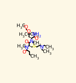 CCCC(=O)N(C)[C@H](CSCCN(CC)CC)C(=O)N(C)[C@@H](CC(C)(C)OCOC)C(N)=O